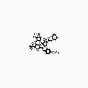 COc1ccc(C[C@H](NC(=O)[C@H](C)NC(=O)CN2CCOCC2)C(=O)N[C@@H](CC2CCN(C)C2=O)C(=O)[C@@]2(C)CO2)cc1